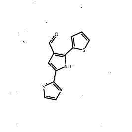 O=Cc1cc(-c2cccs2)[nH]c1-c1cccs1